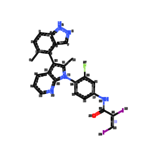 Cc1ccc2[nH]ncc2c1-c1c(C)n(-c2ccc(NC(=O)/C(I)=C\I)cc2F)c2ncccc12